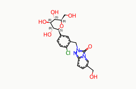 O=c1n(Cc2cc([C@@H]3O[C@H](CO)[C@@H](O)[C@H](O)[C@H]3O)ccc2Cl)nc2ccc(CO)cn12